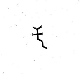 CCCCC(I)(I)C(I)I